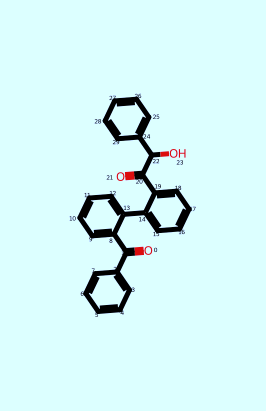 O=C(c1ccccc1)c1ccccc1-c1ccccc1C(=O)C(O)c1ccccc1